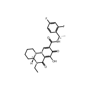 CCN1C(=O)c2c(O)c(=O)c(C(=O)N[C@@H](C)c3ccc(F)cc3F)cn2N2CCCC[C@@H]12